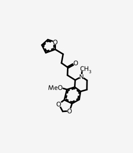 COc1c2c(cc3c1C(CC(=O)CCc1ccco1)N(C)CC3)OCO2